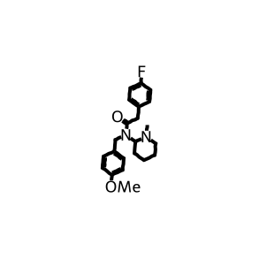 COc1ccc(CN(C(=O)Cc2ccc(F)cc2)C2CCCCN2C)cc1